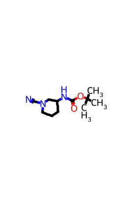 CC(C)(C)OC(=O)NC1CCCN(C#N)C1